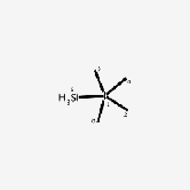 CI(C)(C)(C)[SiH3]